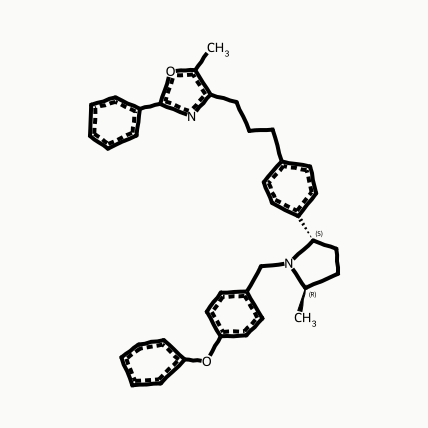 Cc1oc(-c2ccccc2)nc1CCCc1ccc([C@@H]2CC[C@@H](C)N2Cc2ccc(Oc3ccccc3)cc2)cc1